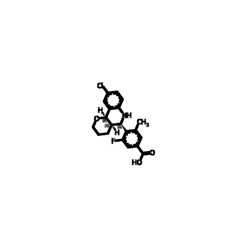 Cc1cc(C(=O)O)cc(F)c1[C@H]1Nc2ccc(Cl)cc2[C@@H]2OCCC[C@H]12